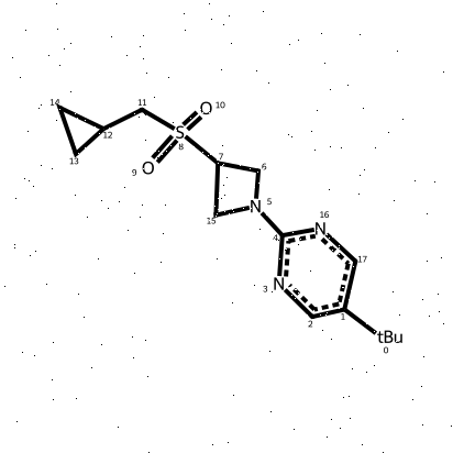 CC(C)(C)c1cnc(N2CC(S(=O)(=O)CC3CC3)C2)nc1